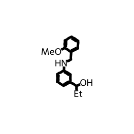 [CH2]CC(O)c1cccc(NCc2ccccc2OC)c1